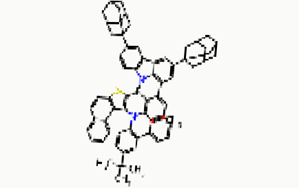 Cc1cc2c3c(c1)N(c1ccc(C(C)(C)C)cc1-c1ccccc1)c1c(sc4ccc5ccccc5c14)B3n1c3ccc(C45CC6CC(CC(C6)C4)C5)cc3c3cc(C45CC6CC(CC(C6)C4)C5)cc-2c31